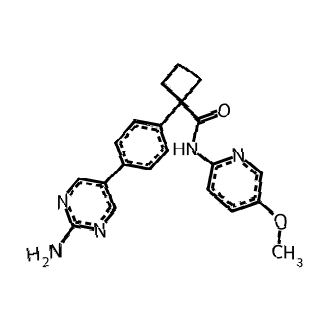 COc1ccc(NC(=O)C2(c3ccc(-c4cnc(N)nc4)cc3)CCC2)nc1